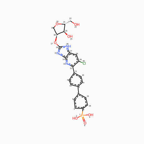 O=P(O)(O)c1ccc(-c2ccc(-c3nc4nc(O[C@H]5CO[C@H](CO)[C@H]5O)[nH]c4cc3Cl)cc2)cc1